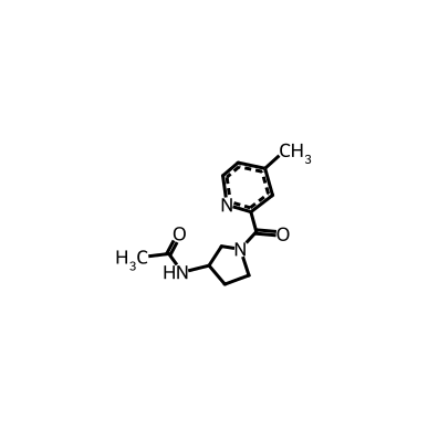 CC(=O)NC1CCN(C(=O)c2cc(C)ccn2)C1